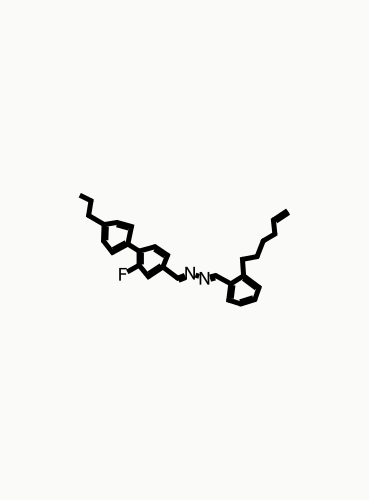 C=CCCCCc1ccccc1C=NN=Cc1ccc(-c2ccc(CCC)cc2)c(F)c1